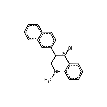 CNCC(c1ccc2ccccc2c1)[C@@H](O)c1ccccc1